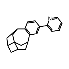 c1ccc(-c2ccc3c(c2)C2CC4CC5CC3CC54C2)nc1